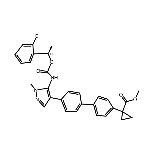 COC(=O)C1(c2ccc(-c3ccc(-c4cnn(C)c4NC(=O)O[C@H](C)c4ccccc4Cl)cc3)cc2)CC1